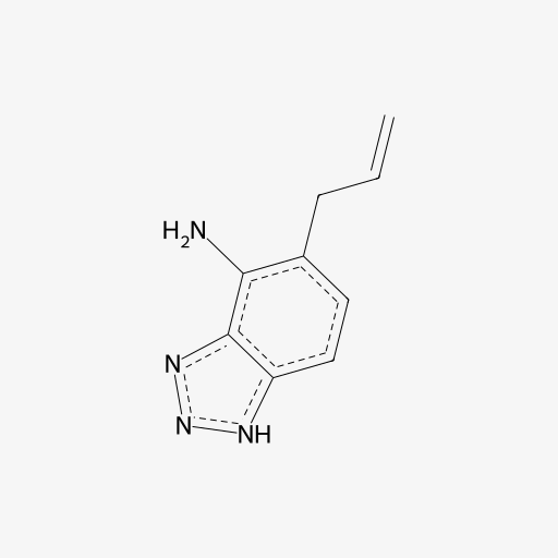 C=CCc1ccc2[nH]nnc2c1N